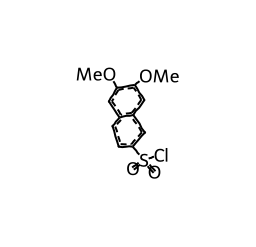 COc1cc2ccc(S(=O)(=O)Cl)cc2cc1OC